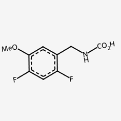 COc1cc(CNC(=O)O)c(F)cc1F